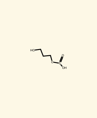 O=S(O)OCCCO